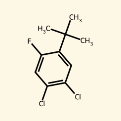 CC(C)(C)c1cc(Cl)c(Cl)cc1F